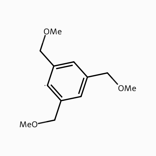 COCc1[c]c(COC)cc(COC)c1